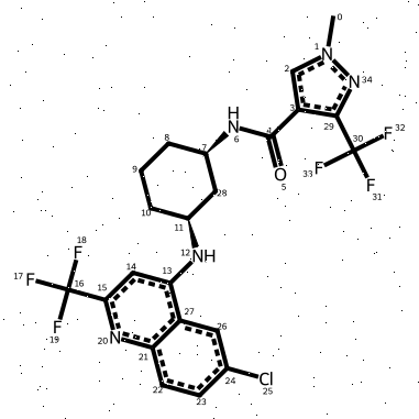 Cn1cc(C(=O)N[C@@H]2CCC[C@H](Nc3cc(C(F)(F)F)nc4ccc(Cl)cc34)C2)c(C(F)(F)F)n1